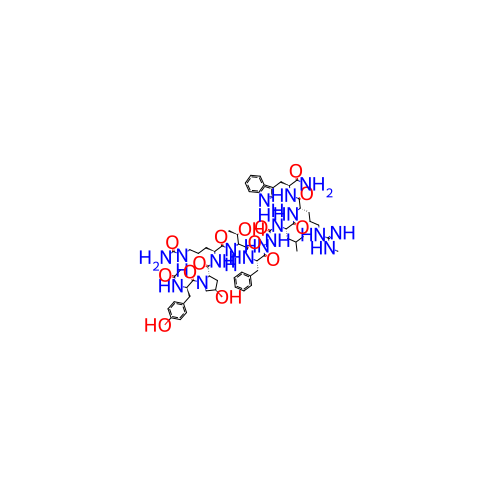 CNC(=N)NCCC[C@H](NC(=O)[C@H](CC(C)C)NC(=O)NNC(=O)[C@H](Cc1ccccc1)NC(=O)[C@@H](NC(=O)[C@H](CCCNC(N)=O)NC(=O)[C@@H]1C[C@@H](O)CN1C(=O)[C@@H](Cc1ccc(O)cc1)NC(C)=O)[C@@H](C)O)C(=O)N[C@@H](Cc1c[nH]c2ccccc12)C(N)=O